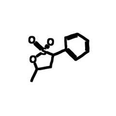 CC1CC(c2ccccc2)S(=O)(=O)O1